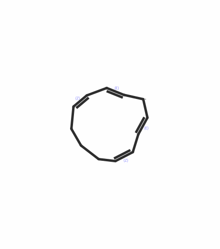 [CH]1/C=C/C=C\CCC/C=C\C=C\1